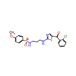 COc1ccc(S(=O)(=O)NCCCNc2ncc(C(=O)c3ccccc3Cl)s2)cc1